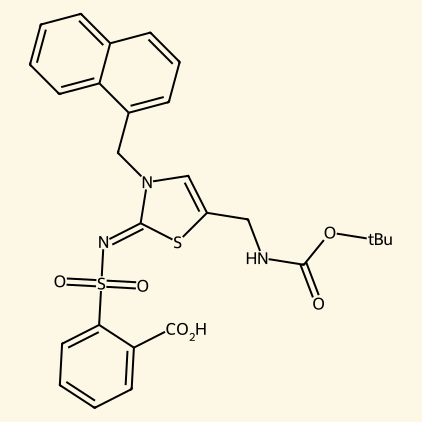 CC(C)(C)OC(=O)NCc1cn(Cc2cccc3ccccc23)c(=NS(=O)(=O)c2ccccc2C(=O)O)s1